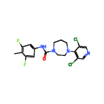 Cc1c(F)cc(NC(=O)N2CCCN(c3c(Cl)cncc3Cl)CC2)cc1F